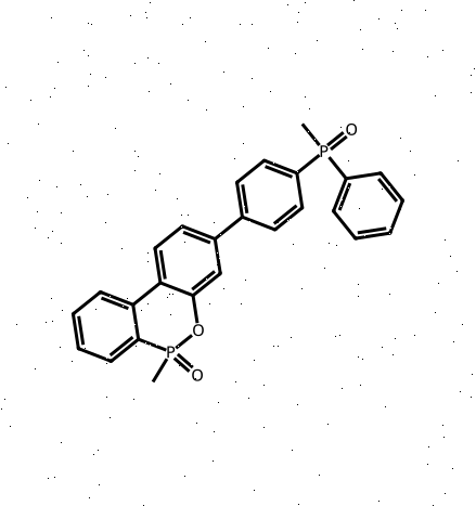 CP1(=O)Oc2cc(-c3ccc(P(C)(=O)c4ccccc4)cc3)ccc2-c2ccccc21